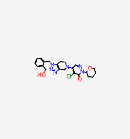 O=c1c(Cl)c(N2CCc3c(nnn3Cc3ccccc3CO)C2)cnn1C1CCCCO1